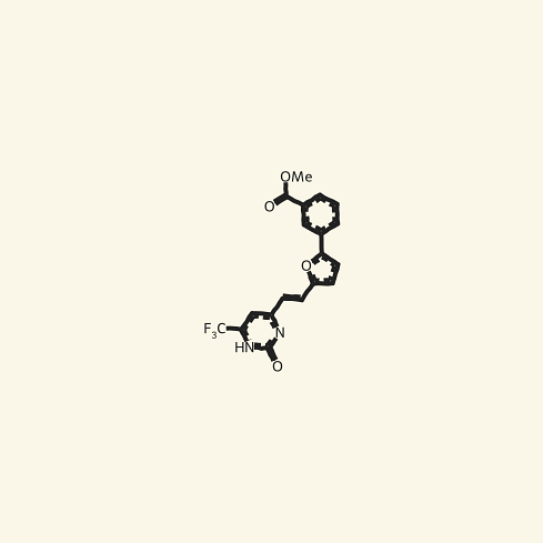 COC(=O)c1cccc(-c2ccc(C=Cc3cc(C(F)(F)F)[nH]c(=O)n3)o2)c1